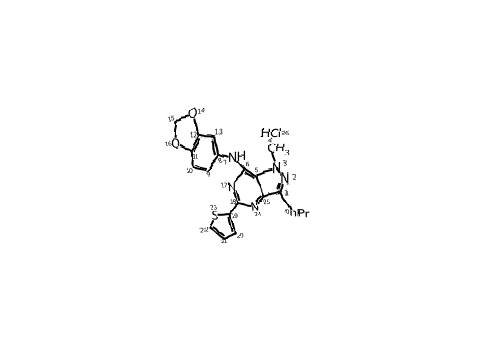 CCCc1nn(C)c2c(Nc3ccc4c(c3)OCO4)nc(-c3cccs3)nc12.Cl